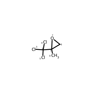 CC1(C(Cl)(Cl)Cl)CO1